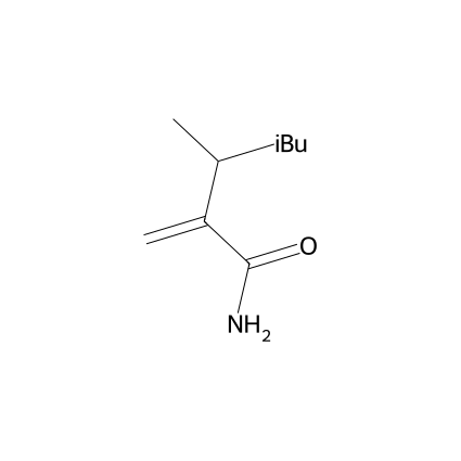 C=C(C(N)=O)C(C)C(C)CC